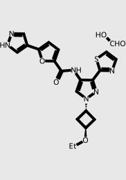 CCO[C@H]1C[C@H](n2cc(NC(=O)c3ccc(-c4cn[nH]c4)o3)c(-c3nccs3)n2)C1.O=CO